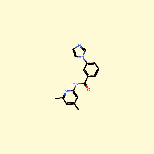 Cc1cc(C)nc(NC(=O)c2cccc(-n3ccnc3)c2)c1